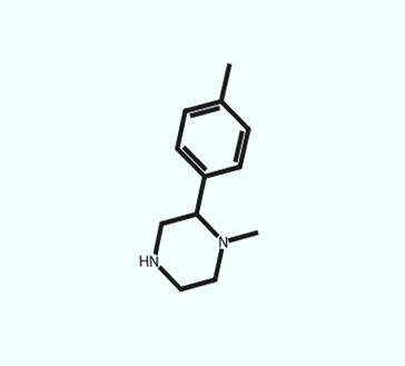 Cc1ccc(C2CNCCN2C)cc1